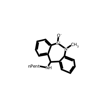 CCCCCNC1c2ccccc2N(C)[S+]([O-])c2ccccc21